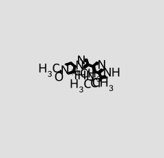 CC(=O)N1CCC(n2ncc(-c3cnc4[nH]cc(Cl)c4c3NC(C)C)c2C)[C@@H](F)C1